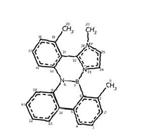 Cc1cccc2c1B1N(c3ccccc3-2)c2cccc(C)c2-c2n1cc[n+]2C